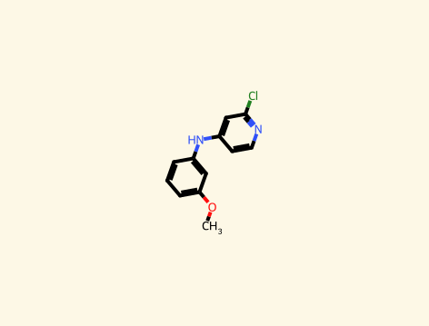 COc1cccc(Nc2ccnc(Cl)c2)c1